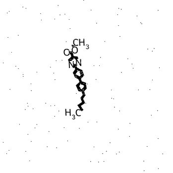 CCCCCCc1ccc(-c2ccc(-c3ncc(C(=O)OCC)cn3)cc2)cc1